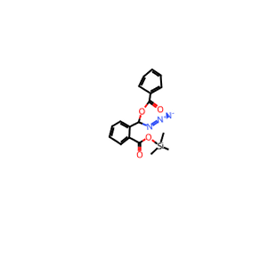 C[Si](C)(C)OC(=O)c1ccccc1C(N=[N+]=[N-])OC(=O)c1ccccc1